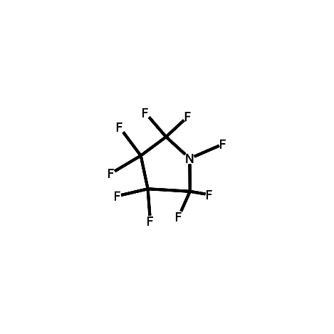 FN1C(F)(F)C(F)(F)C(F)(F)C1(F)F